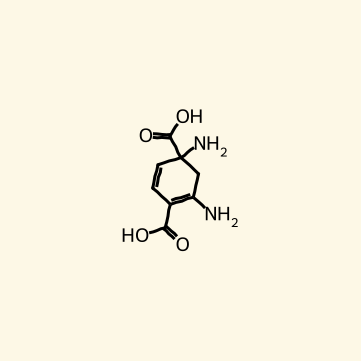 NC1=C(C(=O)O)C=CC(N)(C(=O)O)C1